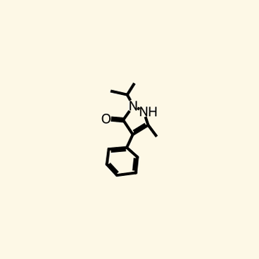 Cc1[nH]n(C(C)C)c(=O)c1-c1ccccc1